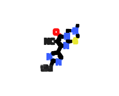 CN1CSc2nc(-c3cnc(C(C)(C)C)nc3)c(C#N)c(=O)n2C1